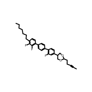 CC#CCCC1OCC(c2ccc(-c3ccc(-c4ccc(CCCCCCC)c(F)c4F)cc3)c(F)c2)CO1